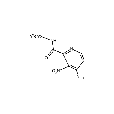 CCCCCNC(=O)c1nccc(N)c1[N+](=O)[O-]